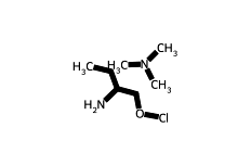 CCC(N)COCl.CN(C)C